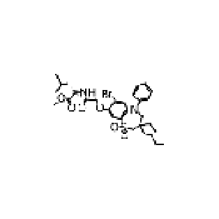 CCCCC1(CC)CN(c2ccccc2)c2cc(Br)c(OCC(=O)N[C@@H](CC(C)C)C(=O)OC)cc2S(=O)(=O)C1